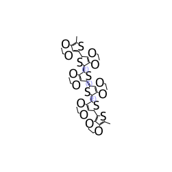 Cc1sc(C2S/C(=c3/s/c(=c4/s/c(=C5/SC(c6sc(C)c7c6OCCO7)C6=C5OCCO6)c5c4OCCO5)c4c3OCCO4)C3=C2OCCO3)c2c1OCCO2